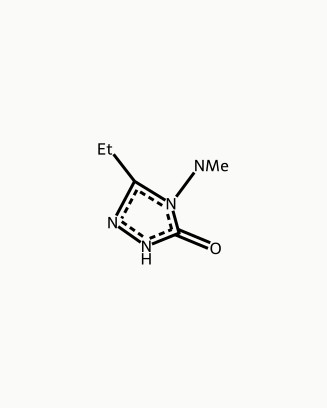 CCc1n[nH]c(=O)n1NC